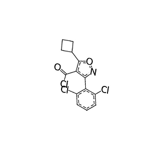 O=C(Cl)c1c(-c2c(Cl)cccc2Cl)noc1C1CCC1